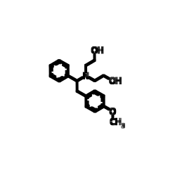 COc1ccc(CC(c2ccccc2)N(CCO)CCO)cc1